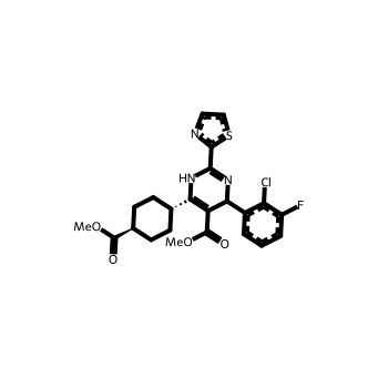 COC(=O)C1=C([C@H]2CC[C@H](C(=O)OC)CC2)NC(c2nccs2)=NC1c1cccc(F)c1Cl